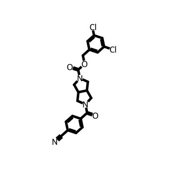 N#Cc1ccc(C(=O)N2CC3CN(C(=O)OCc4cc(Cl)cc(Cl)c4)CC3C2)cc1